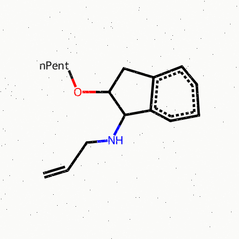 C=CCNC1c2ccccc2CC1OCCCCC